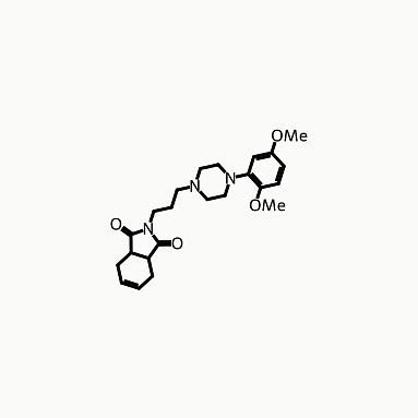 COc1ccc(OC)c(N2CCN(CCCN3C(=O)C4CC=CCC4C3=O)CC2)c1